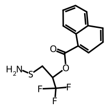 NSCC(OC(=O)c1cccc2ccccc12)C(F)(F)F